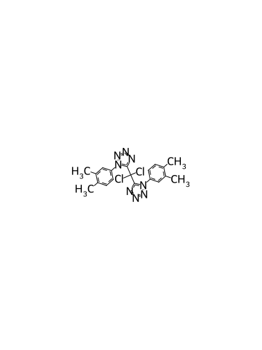 Cc1ccc(-n2nnnc2C(Cl)(Cl)c2nnnn2-c2ccc(C)c(C)c2)cc1C